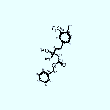 CC(C)C(O)(C=Cc1ccc(F)c(C(F)(F)F)c1)CC(=O)OCc1ccccc1